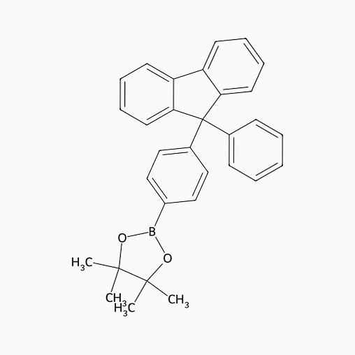 CC1(C)OB(c2ccc(C3(c4ccccc4)c4ccccc4-c4ccccc43)cc2)OC1(C)C